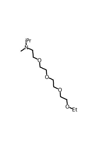 CCOCCOCCOCCOCCN(C)C(C)C